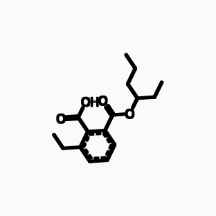 CCCC(CC)OC(=O)c1cccc(CC)c1C(=O)O